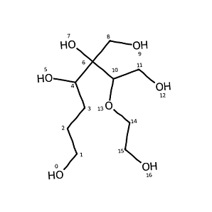 OCCCC(O)C(O)(CO)C(CO)OCCO